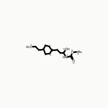 CC(=O)OCCC1CCC(CCC(O)NC(=O)OC(C)(C)C)CC1